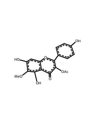 COc1c(O)cc2oc(-c3ccc(O)cc3)c(OC(C)=O)c(=O)c2c1O